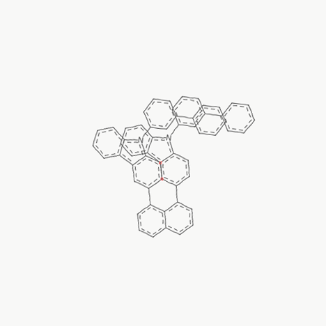 c1ccc(-c2cccc(-n3c4ccccc4c4cc(-c5cccc6cccc(-c7ccc8c(c7)c7ccccc7n8-c7cccc(-c8ccccc8)c7)c56)ccc43)c2)cc1